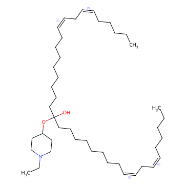 CCCCC/C=C\C/C=C\CCCCCCCCC(O)(CCCCCCCC/C=C\C/C=C\CCCCC)OC1CCN(CC)CC1